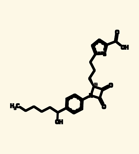 CCCCCC(O)c1ccc(N2C(=O)C(=O)[C@@H]2CCCc2ccc(C(=O)O)s2)cc1